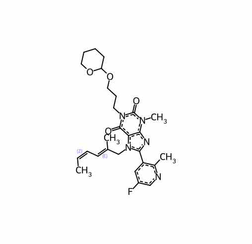 C/C=C\C=C(/C)Cn1c(-c2cc(F)cnc2C)nc2c1c(=O)n(CCCOC1CCCCO1)c(=O)n2C